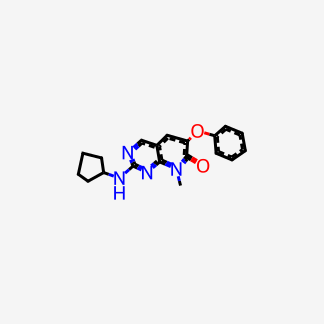 Cn1c(=O)c(Oc2ccccc2)cc2cnc(NC3CCCC3)nc21